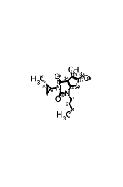 CCCCn1c(=O)n(C2C[C@@H]2C)c(=O)c2c(C)c(C=O)sc21